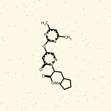 COC(=O)C(CC1CCCC1)n1ncc(Oc2nc(C)cc(C)n2)cc1=O